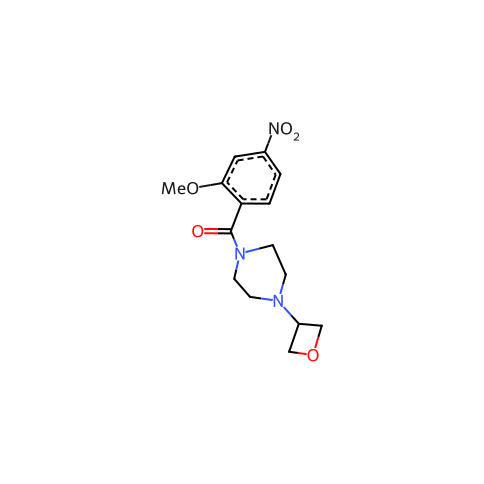 COc1cc([N+](=O)[O-])ccc1C(=O)N1CCN(C2COC2)CC1